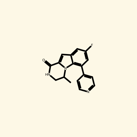 CC1CNC(=O)c2cc3cc(F)cc(-c4ccncc4)c3n21